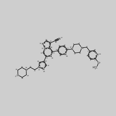 COc1ccc(CN2CCN(c3ccc(-c4nc(-c5cnn(CCN6CCOCC6)c5)cn5ncc(C#N)c45)cn3)CC2)cn1